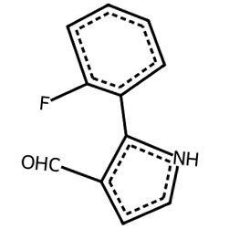 O=Cc1cc[nH]c1-c1ccccc1F